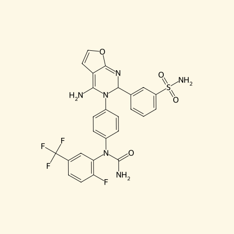 NC(=O)N(c1ccc(N2C(N)=c3ccoc3=NC2c2cccc(S(N)(=O)=O)c2)cc1)c1cc(C(F)(F)F)ccc1F